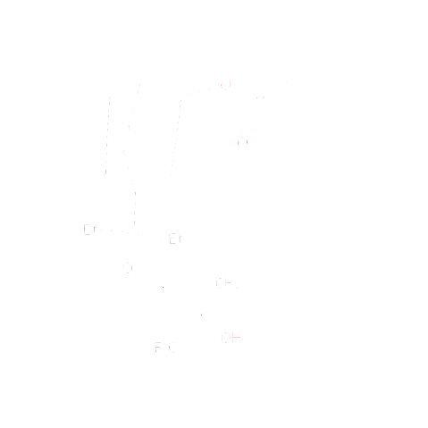 C=C(C)C(=O)OC1C2CC3CC1CC(C(CC)(CC)OC(C)(C)C(O)(C(F)(F)F)C(F)(F)F)(C3)C2